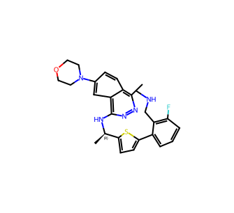 CNCc1c(F)cccc1-c1ccc([C@@H](C)Nc2nnc(C)c3ccc(N4CCOCC4)cc23)s1